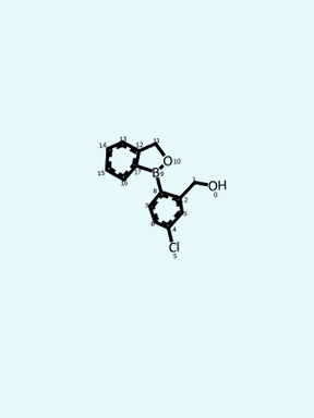 OCc1cc(Cl)ccc1B1OCc2ccccc21